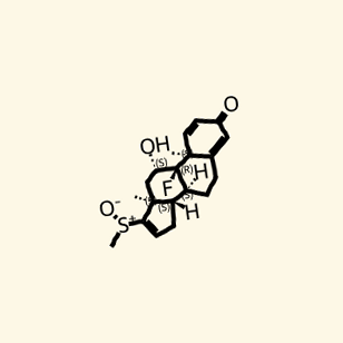 C[S+]([O-])C1=CC[C@H]2[C@@H]3CCC4=CC(=O)C=C[C@]4(C)[C@@]3(F)[C@@H](O)C[C@]12C